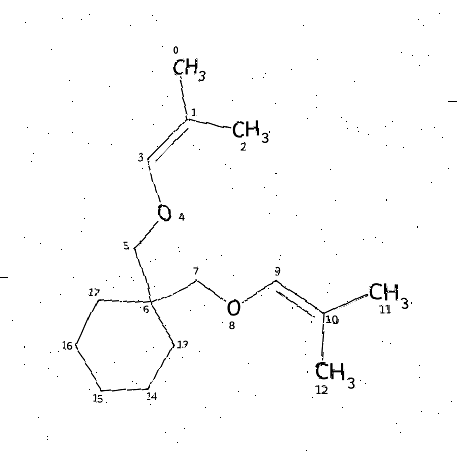 CC(C)=COCC1(COC=C(C)C)CCCCC1